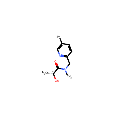 CC(C)c1ccc(CN(C)C(=O)[C@@H](C)O)nc1